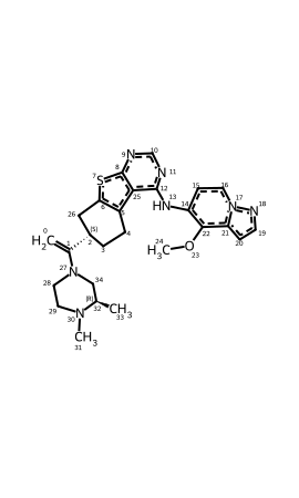 C=C([C@H]1CCc2c(sc3ncnc(Nc4ccn5nccc5c4OC)c23)C1)N1CCN(C)[C@H](C)C1